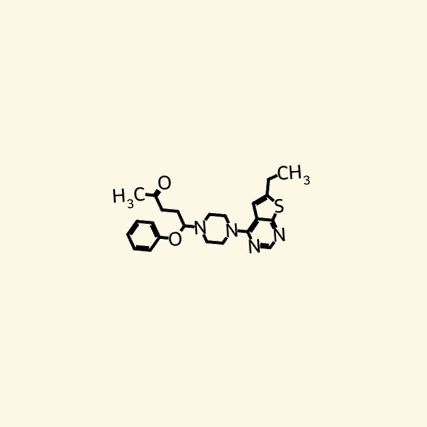 CCc1cc2c(N3CCN(C(CCC(C)=O)Oc4ccccc4)CC3)ncnc2s1